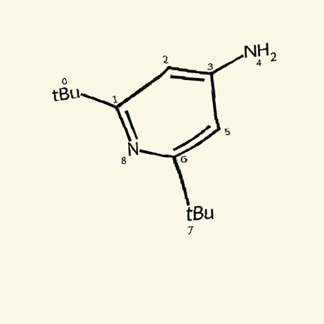 CC(C)(C)c1cc(N)cc(C(C)(C)C)n1